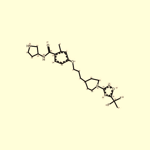 Cc1cc(OCCCC2CCN(c3noc(C(C)(F)F)n3)CC2)ccc1C(=O)NC1CCNC1